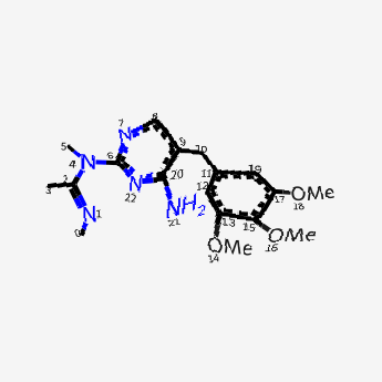 CN=C(C)N(C)c1ncc(Cc2cc(OC)c(OC)c(OC)c2)c(N)n1